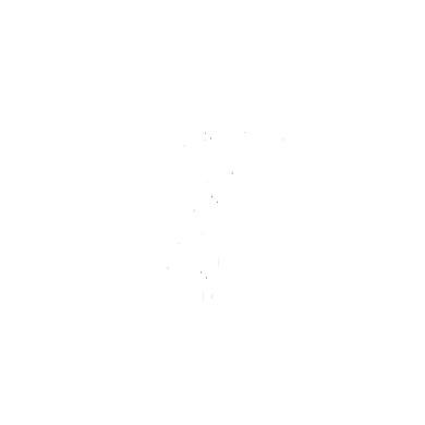 CCN(CC)C(CCCNc1ccnc2cc(Cl)ccc12)C(=O)O